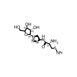 [CH2][CH]CSC[C@@H](N)C(=O)Nc1cn([C@H]2OC(CO)[C@@H](O)[C@@H]2O)nn1